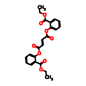 CCOC(=O)c1ccccc1OC(=O)C=CC(=O)Oc1ccccc1C(=O)OCC